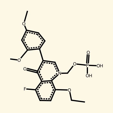 CCOc1ccc(F)c2c(=O)c(-c3ccc(OC)cc3OC)cn(COP(=O)(O)O)c12